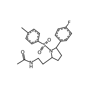 CC(=O)NCCC1CCC(c2ccc(F)cc2)N1S(=O)(=O)c1ccc(C)cc1